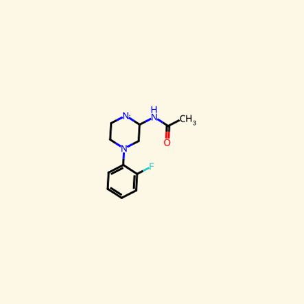 CC(=O)NC1CN(c2ccccc2F)CC[N]1